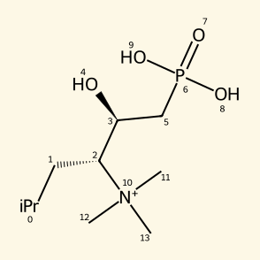 CC(C)C[C@H]([C@@H](O)CP(=O)(O)O)[N+](C)(C)C